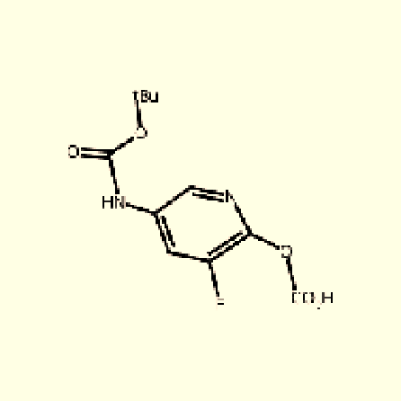 CC(C)(C)OC(=O)Nc1cnc(OC(=O)O)c(F)c1